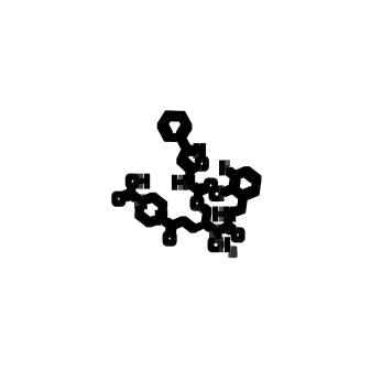 CN(C(=O)NCc1cccc(F)c1Cl)[C@@H](CCC(=O)N1CCN(C(=O)O)CC1)COC(=O)Nc1cc(-c2ccccc2)no1